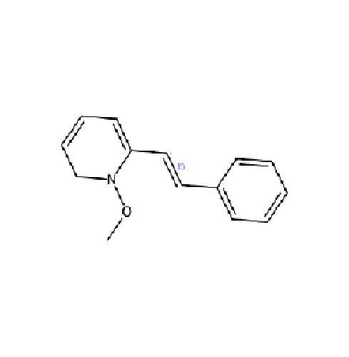 CON1CC=CC=C1/[C]=C/c1ccccc1